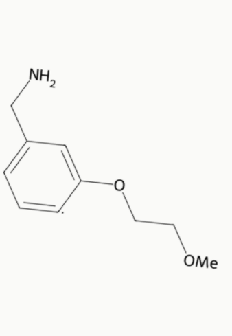 COCCOc1[c]ccc(CN)c1